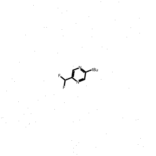 CC(C)(C)c1cnc(C(F)F)cn1